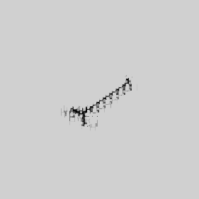 CN(CC(=O)O)CC(O)COCC(O)COCC(O)COCC(O)COCC(O)COCC(O)COCC(O)CN(C[C@H](O)[C@@H](O)[C@H](O)[C@H](O)CO)C[C@H](O)[C@@H](O)[C@H](O)[C@H](O)CO